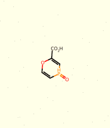 O=C(O)C1=C[PH](=O)C=CO1